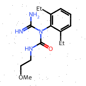 CCc1cccc(CC)c1N(C(=N)N)C(=O)NCCOC